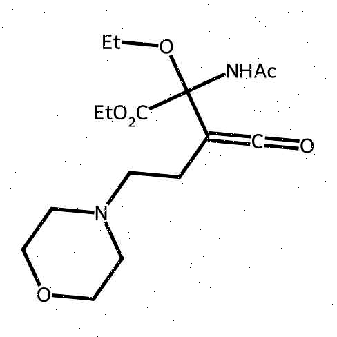 CCOC(=O)C(NC(C)=O)(OCC)C(=C=O)CCN1CCOCC1